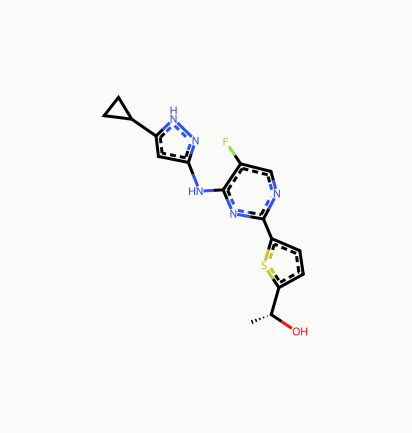 C[C@@H](O)c1ccc(-c2ncc(F)c(Nc3cc(C4CC4)[nH]n3)n2)s1